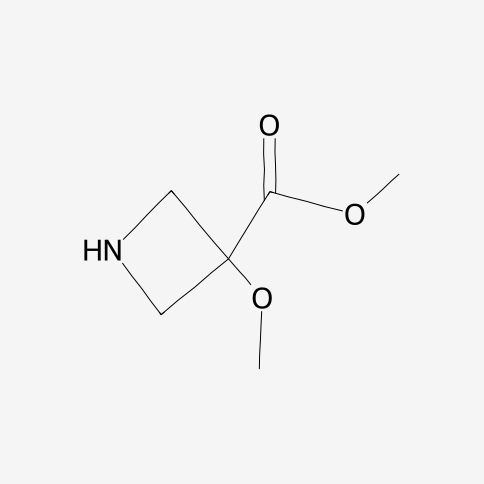 COC(=O)C1(OC)CNC1